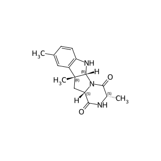 Cc1ccc2c(c1)[C@@]1(C)C[C@H]3C(=O)N[C@@H](C)C(=O)N3[C@H]1N2